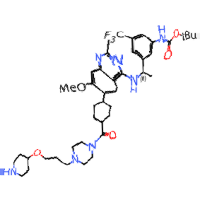 COc1cc2nc(C)nc(N[C@H](C)c3cc(NC(=O)OC(C)(C)C)cc(C(F)(F)F)c3)c2cc1C1CCC(C(=O)N2CCN(CCCOC3CCNCC3)CC2)CC1